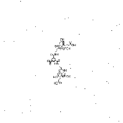 O=C(O)CC[C@H](NC(=O)[C@H](CC(=O)O)NC(=O)CCCNC(=O)c1cc(C(=O)NCCCC(=O)N[C@@H](CC(=O)O)C(=O)N[C@@H](CCC(=O)O)C(=O)O)cc([N+](=O)[O-])c1)C(=O)O